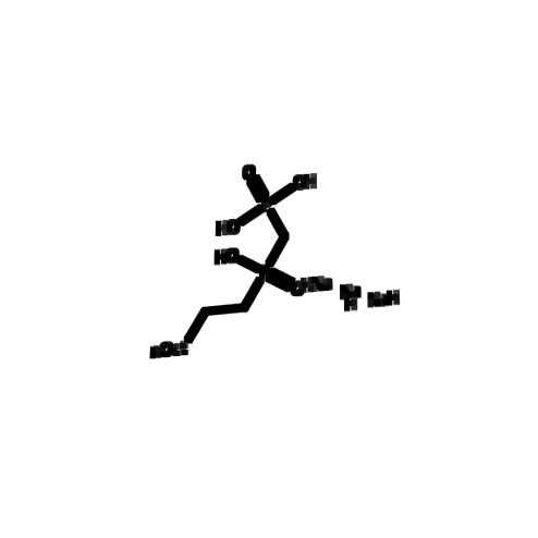 CCCCCCCCCCP(=O)(O)CP(=O)(O)O.[NaH].[NaH].[NaH]